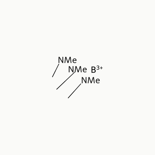 C[N-]C.C[N-]C.C[N-]C.[B+3]